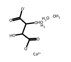 O.O.O.O=C([O-])C(O)C(O)C(=O)[O-].[Ca+2]